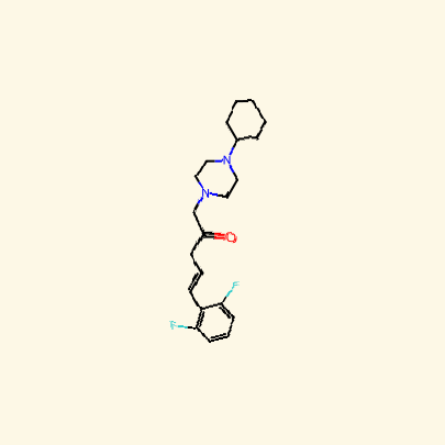 O=C(CC=Cc1c(F)cccc1F)CN1CCN(C2CCCCC2)CC1